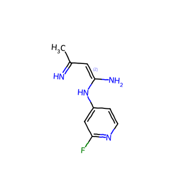 CC(=N)/C=C(/N)Nc1ccnc(F)c1